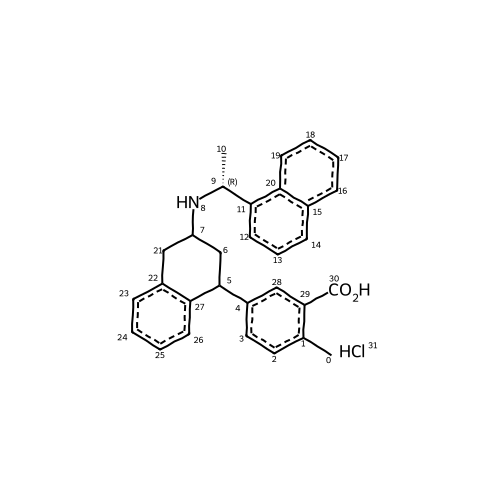 Cc1ccc(C2CC(N[C@H](C)c3cccc4ccccc34)Cc3ccccc32)cc1C(=O)O.Cl